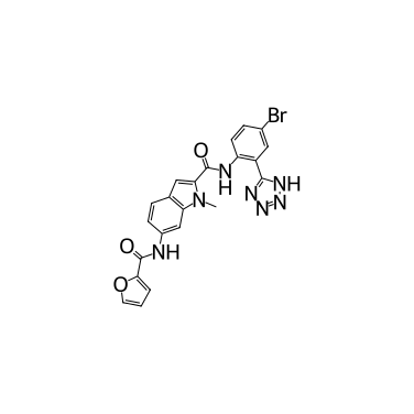 Cn1c(C(=O)Nc2ccc(Br)cc2-c2nnn[nH]2)cc2ccc(NC(=O)c3ccco3)cc21